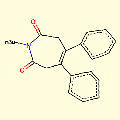 CCCCN1C(=O)CC(c2ccccc2)=C(c2ccccc2)CC1=O